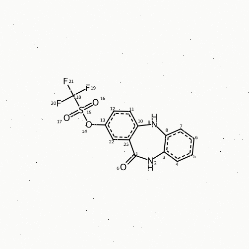 O=C1Nc2ccccc2Nc2ccc(OS(=O)(=O)C(F)(F)F)cc21